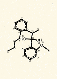 CCCCc1ccccc1C(C)C(O)(O)c1ccccc1OC